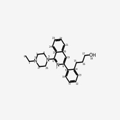 CCN1CCN(c2nc(-c3ccccc3CCCO)cc3ccccc23)CC1